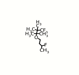 CC(F)CCOC(C)(C)C(C)(C)C(F)(F)F